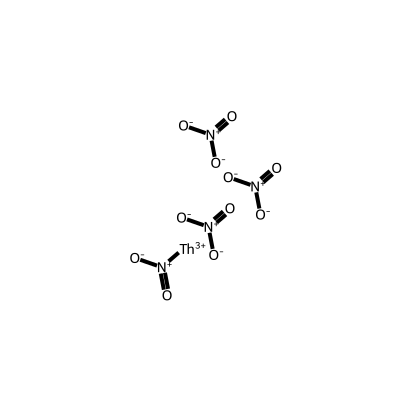 O=[N+]([O-])[O-].O=[N+]([O-])[O-].O=[N+]([O-])[O-].O=[N+]([O-])[Th+3]